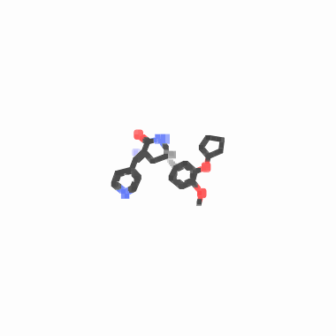 COc1ccc([C@H]2CNC(=O)/C(=C/c3ccncc3)C2)cc1OC1CCCC1